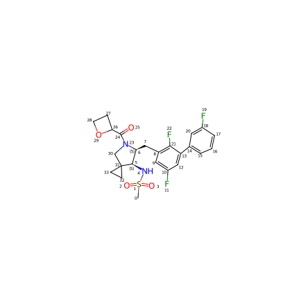 CS(=O)(=O)N[C@@H]1[C@H](Cc2cc(F)cc(-c3cccc(F)c3)c2F)N(C(=O)C2CCO2)CC12CC2